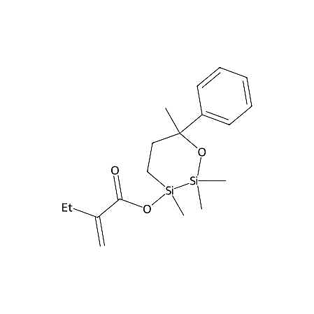 C=C(CC)C(=O)O[Si]1(C)CCC(C)(c2ccccc2)O[Si]1(C)C